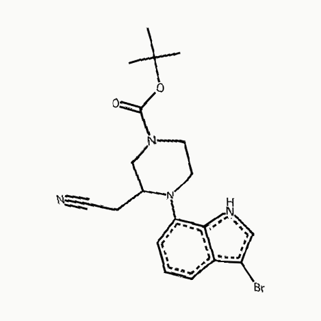 CC(C)(C)OC(=O)N1CCN(c2cccc3c(Br)c[nH]c23)C(CC#N)C1